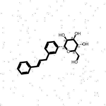 OC[C@H]1O[C@H](c2cccc(CC=Cc3ccccc3)c2)[C@@H](O)[C@@H](O)[C@@H]1O